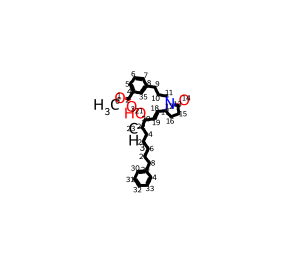 COC(=O)c1cccc(CCCN2C(=O)CCC2C=C[C@@H](O)[C@@H](C)CCCCCc2ccccc2)c1